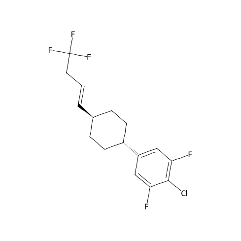 Fc1cc([C@H]2CC[C@H](C=CCC(F)(F)F)CC2)cc(F)c1Cl